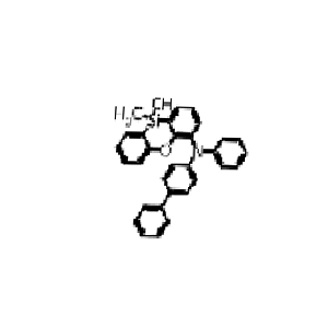 C[Si]1(C)c2ccccc2Oc2c(N(c3ccccc3)c3ccc(-c4ccccc4)cc3)cccc21